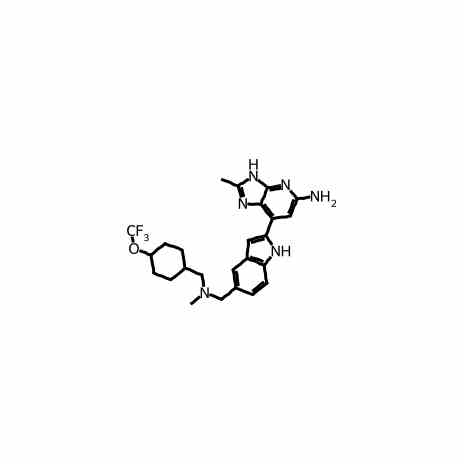 Cc1nc2c(-c3cc4cc(CN(C)CC5CCC(OC(F)(F)F)CC5)ccc4[nH]3)cc(N)nc2[nH]1